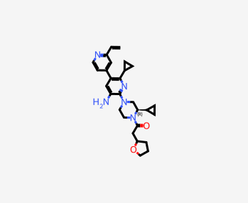 C=Cc1cc(-c2cc(N)c(N3CCN(C(=O)CC4CCCO4)[C@H](C4CC4)C3)nc2C2CC2)ccn1